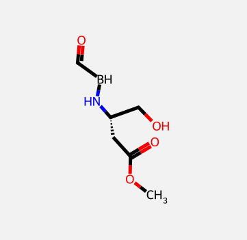 COC(=O)C[C@@H](CO)NBC=O